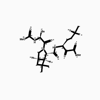 CNC(=O)C(=O)[C@H](CCC(C)(F)F)NC(=O)[C@@H]1[C@@H]2[C@H](CN1C(=O)[C@@H](NC(=O)OC)C(C)(C)C)CC2(C)C